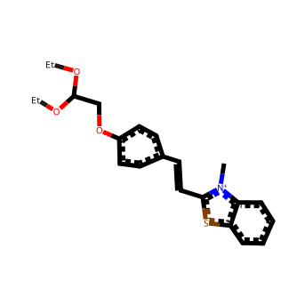 CCOC(COc1ccc(C=Cc2sc3ccccc3[n+]2C)cc1)OCC